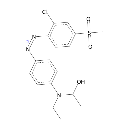 CCN(c1ccc(/N=N\c2ccc(S(C)(=O)=O)cc2Cl)cc1)C(C)O